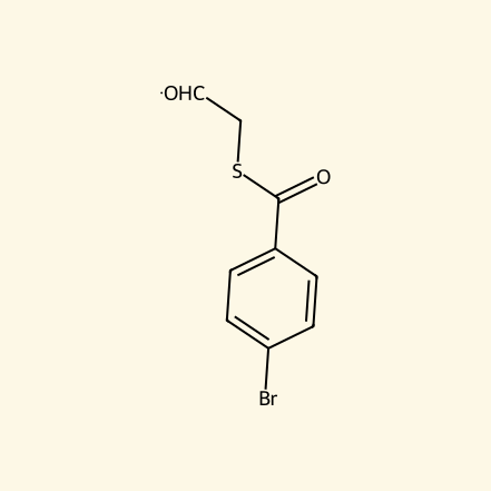 O=[C]CSC(=O)c1ccc(Br)cc1